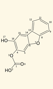 O=C(O)Oc1cc2oc3ccccc3c2cc1O